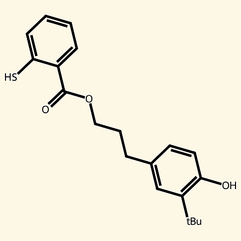 CC(C)(C)c1cc(CCCOC(=O)c2ccccc2S)ccc1O